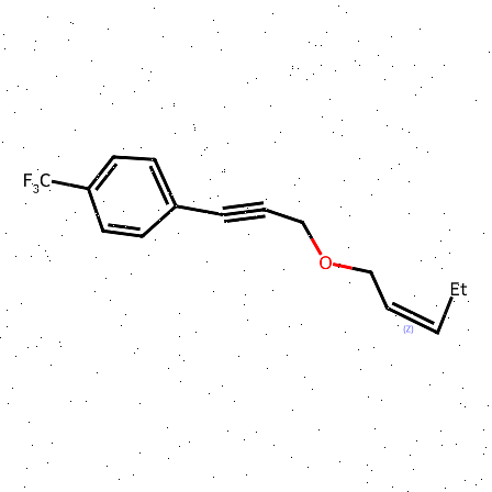 CC/C=C\COCC#Cc1ccc(C(F)(F)F)cc1